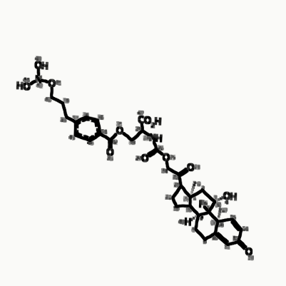 C[C@]12C[C@H](O)C3(F)[C@@H](CCC4=CC(=O)C=C[C@@]43C)C1CCC2C(=O)COC(=O)NC(COC(=O)c1ccc(CCCON(O)O)cc1)C(=O)O